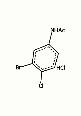 CC(=O)Nc1ccc(Cl)c(Br)c1.Cl